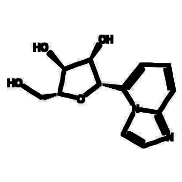 OC[C@H]1O[C@@H](c2cccc3nccn23)[C@H](O)[C@@H]1O